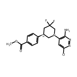 COC(=O)c1ccc([C@@H]2CN(c3cc(Cl)nnc3N)CC(F)(F)C2)cc1